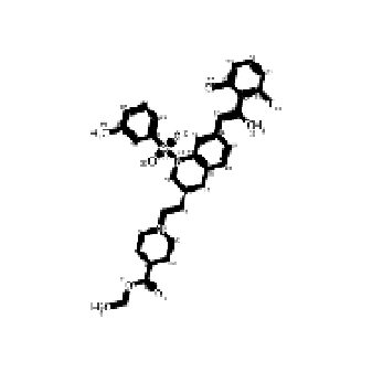 CCOC(=O)C1CCN(CC[C@@H]2Cc3ccc(/C=C(\C)c4c(F)cccc4Cl)cc3N(S(=O)(=O)c3cccc(C)c3)C2)CC1